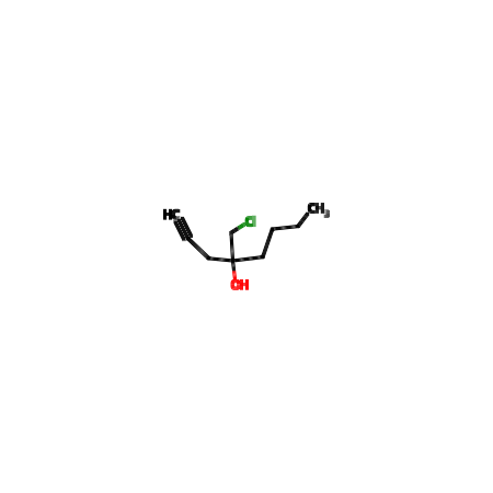 C#CCC(O)(CCl)CCCC